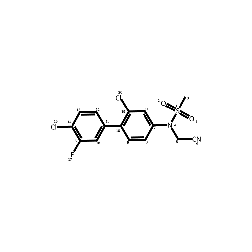 CS(=O)(=O)N(CC#N)c1ccc(-c2ccc(Cl)c(F)c2)c(Cl)c1